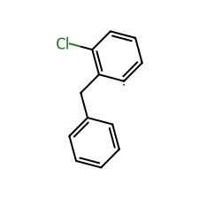 Clc1ccc[c]c1Cc1ccccc1